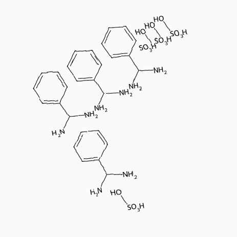 NC(N)c1ccccc1.NC(N)c1ccccc1.NC(N)c1ccccc1.NC(N)c1ccccc1.O=S(=O)(O)O.O=S(=O)(O)O.O=S(=O)(O)O.O=S(=O)(O)O